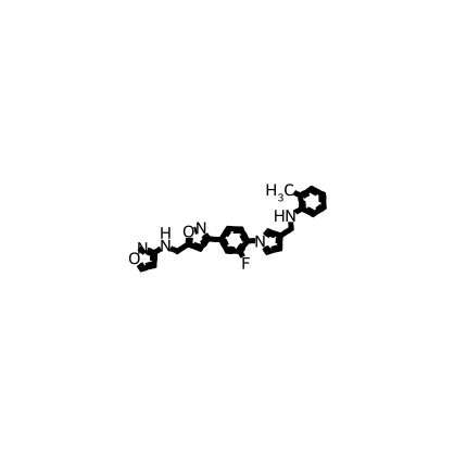 Cc1ccccc1NCc1ccn(-c2ccc(-c3cc(CNc4ccon4)on3)cc2F)c1